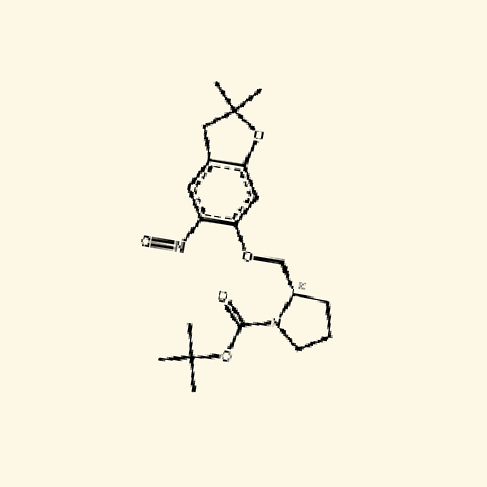 CC(C)(C)OC(=O)N1CCC[C@@H]1COc1cc2c(cc1N=O)CC(C)(C)O2